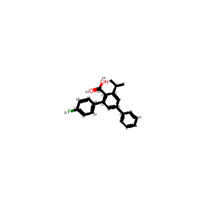 CC(C)c1cc(-c2ccccc2)cc(-c2ccc(F)cc2)c1C(=O)O